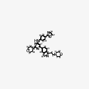 Cn1nc(CCN2CCOCC2)c2ccc(-c3cc(Nc4ccc(-c5ncco5)cc4)nc(N4CCOCC4)n3)cc21